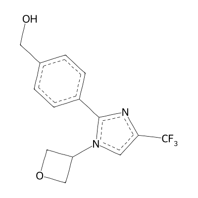 OCc1ccc(-c2nc(C(F)(F)F)cn2C2COC2)cc1